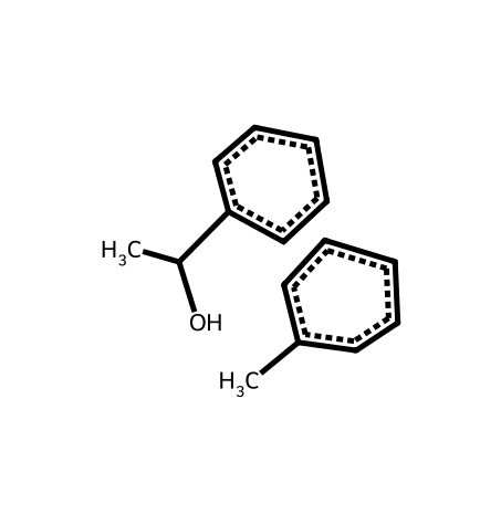 CC(O)c1ccccc1.Cc1ccccc1